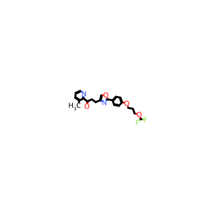 Cc1cccnc1C(=O)CCc1coc(-c2ccc(OCCCOC(F)F)cc2)n1